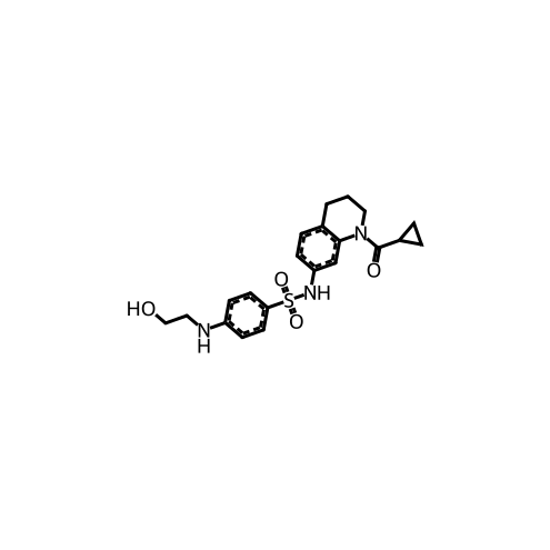 O=C(C1CC1)N1CCCc2ccc(NS(=O)(=O)c3ccc(NCCO)cc3)cc21